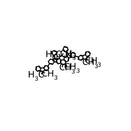 CC1c2cc3c4c(n(-c5ccccc5)c3c3c2-c2c(cc5c6cc(-c7ccc8c(c7)-c7ccccc7C8(C)C)ccc6n(-c6ccccc6)c5c2C(C)C3C)C1C)CCC(c1ccc2c(c1)-c1ccccc1C2(C)C)=C4